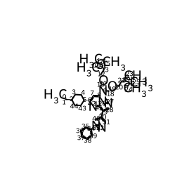 CC[C@H]1CC[C@H](c2cc(N(COCC[Si](C)(C)C)COCC[Si](C)(C)C)n3ncc(-c4cnn(-c5ccccc5)c4)c3n2)CC1